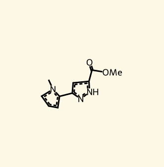 COC(=O)c1cc(-c2cccn2C)n[nH]1